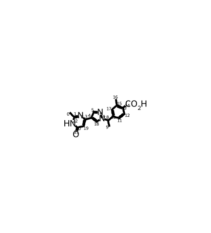 Cc1nc(-c2cnn(C(C)c3ccc(C(=O)O)c(C)c3)c2)cc(=O)[nH]1